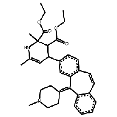 CCOC(=O)C1C(c2ccc3c(c2)C(=C2CCN(C)CC2)c2ccccc2C=C3)C=C(C)NC1(C)C(=O)OCC